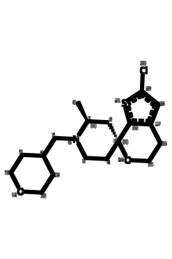 C[C@H]1C[C@@]2(CCN1CC1CCOCC1)OCCc1cc(Cl)sc12